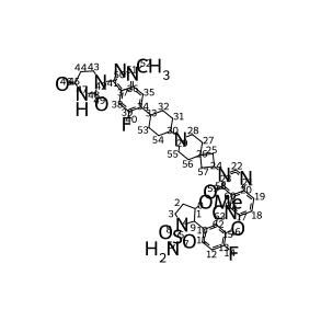 COC1CCN(S(N)(=O)=O)C1c1ccc(F)c(Oc2ccc3ncn(C4CC5(CCN(C6CCC(c7cc8c(cc7F)c(N7CCC(=O)NC7=O)nn8C)CC6)CC5)C4)c(=O)c3c2)c1C#N